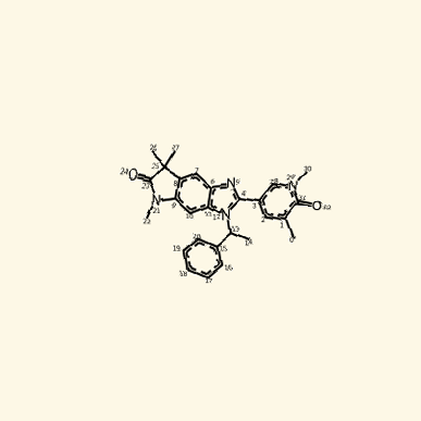 Cc1cc(-c2nc3cc4c(cc3n2C(C)c2ccccc2)N(C)C(=O)C4(C)C)cn(C)c1=O